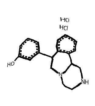 Cl.Cl.Oc1cccc(C2CN3CCNCC3c3ccccc32)c1